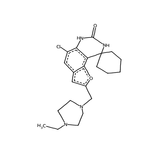 CCN1CCN(Cc2cc3cc(Cl)c4c(c3o2)C2(CCCCC2)NC(=O)N4)CC1